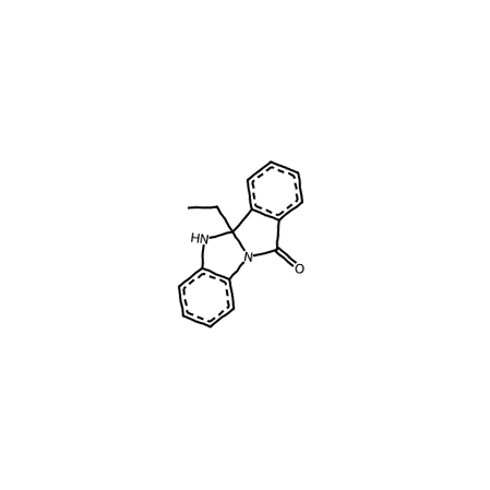 CCC12Nc3ccccc3N1C(=O)c1ccccc12